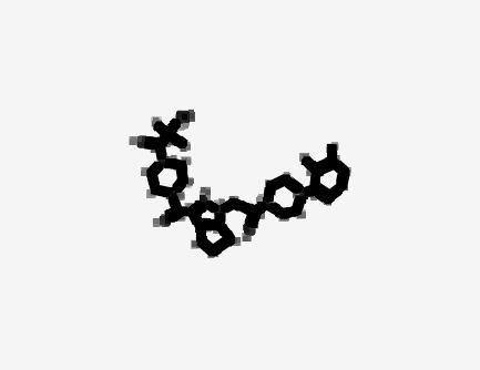 Cc1cccc(N2CCN(C(=O)Cn3nc(C(=O)N4CCN(C(=O)C(C)(C)O)CC4)c4c3CCC4)CC2)c1C